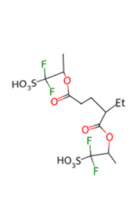 CCC(CCC(=O)OC(C)C(F)(F)S(=O)(=O)O)C(=O)OC(C)C(F)(F)S(=O)(=O)O